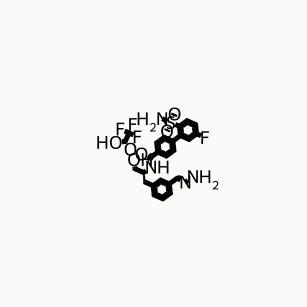 NN=Cc1cccc(C[C@@H](CO)NC(=O)c2ccc(-c3cc(F)ccc3S(N)(=O)=O)cc2)c1.O=C(O)C(F)(F)F